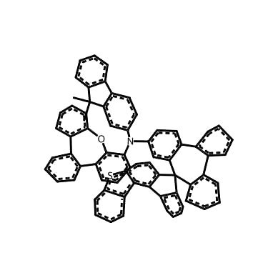 CC1(C)c2ccccc2-c2ccc(N(c3ccc4c(c3)C3(c5ccccc5-c5ccccc5-4)c4ccccc4-c4c3ccc3sc5ccccc5c43)c3cccc4c3Oc3ccccc3-c3ccccc3-4)cc21